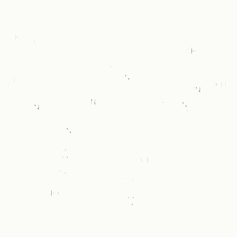 Cc1c(CN2CCN(c3nccnc3-c3cccc(F)c3F)CC2)cnn1C.O=C(O)C=CC(=O)O